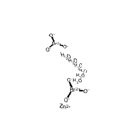 O.O.O.O.O.O.[O-][Br+2]([O-])[O-].[O-][Br+2]([O-])[O-].[Zn+2]